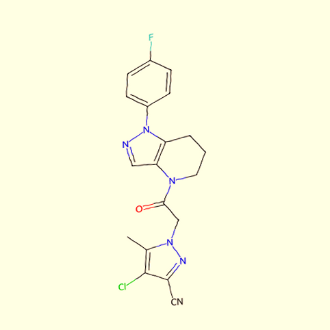 Cc1c(Cl)c(C#N)nn1CC(=O)N1CCCc2c1cnn2-c1ccc(F)cc1